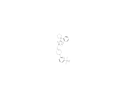 FC(F)(F)c1cccc(C2CCN(Cc3nc(C4(c5ccccc5)CCCC4)no3)CC2)n1